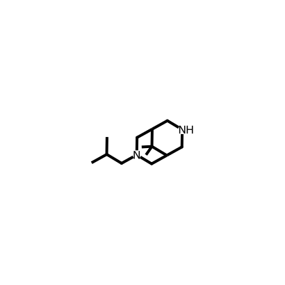 CC(C)CN1CC2CNCC(C1)C2(C)C